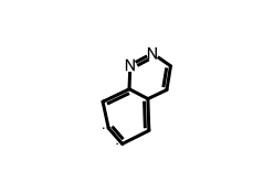 [c]1[c]cc2nnccc2c1